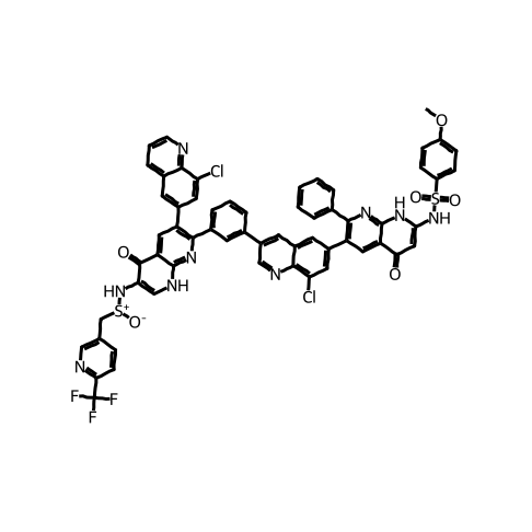 COc1ccc(S(=O)(=O)Nc2cc(=O)c3cc(-c4cc(Cl)c5ncc(-c6cccc(-c7nc8[nH]cc(N[S+]([O-])Cc9ccc(C(F)(F)F)nc9)c(=O)c8cc7-c7cc(Cl)c8ncccc8c7)c6)cc5c4)c(-c4ccccc4)nc3[nH]2)cc1